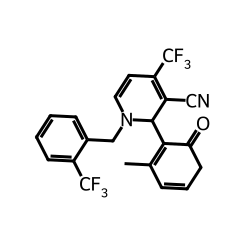 CC1=C(C2C(C#N)=C(C(F)(F)F)C=CN2Cc2ccccc2C(F)(F)F)C(=O)CC=C1